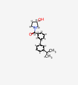 CC(C)c1cccc(-c2cccc(C(=O)N3CC[C@H](O)C3)c2)c1